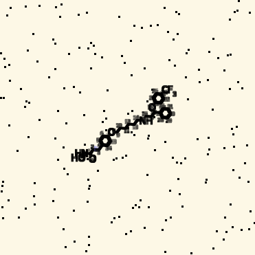 O=C(/C=C/c1ccc(OCCCCCCNCCC(Oc2ccc(C(F)(F)F)cc2)c2ccccc2)cc1)NO